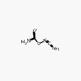 N=C=NOC(N)=O